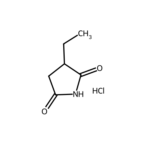 CCC1CC(=O)NC1=O.Cl